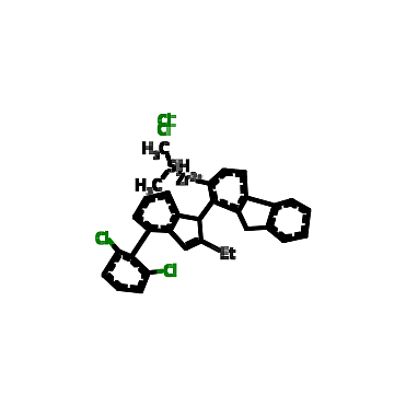 CCC1=Cc2c(-c3c(Cl)cccc3Cl)cccc2C1c1[c]([Zr+2][SiH](C)C)ccc2c1Cc1ccccc1-2.[Cl-].[Cl-]